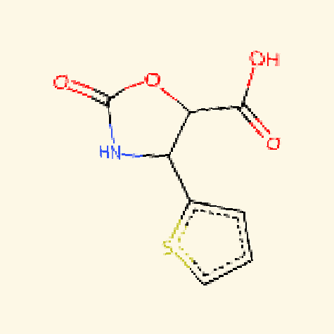 O=C1NC(c2cccs2)C(C(=O)O)O1